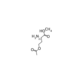 C.CC(=O)OCC[C@H](N)C(=O)O